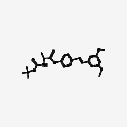 COc1cc(/C=C/c2ccc(OC(=O)C(C)NC(=O)OC(C)(C)C)cc2)cc(OC)c1